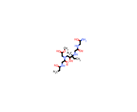 CCC(O)NCC(O)N(CC(O)OC)CC(O)[C@@](C)(CC)NCC(O)NCC(N)O